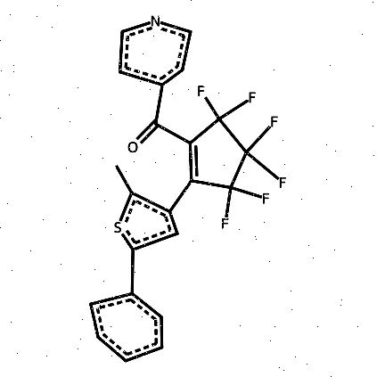 Cc1sc(-c2ccccc2)cc1C1=C(C(=O)c2ccncc2)C(F)(F)C(F)(F)C1(F)F